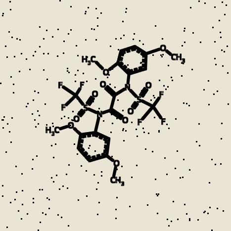 COc1ccc(OC)c(N(C(=O)C(=O)N(c2cc(OC)ccc2OC)S(=O)(=O)C(F)(F)F)S(=O)(=O)C(F)(F)F)c1